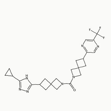 O=C(N1CC2(CC(c3cnc(C(F)(F)F)cn3)C2)C1)N1CC2(CC(c3nnc(C4CC4)[nH]3)C2)C1